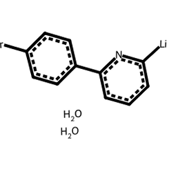 O.O.[Li][c]1cccc(-c2ccc(C(C)C)cc2)n1